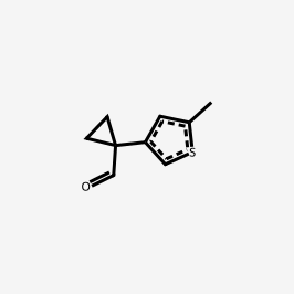 Cc1cc(C2(C=O)CC2)cs1